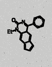 CCN1C(=O)N=C(c2ccccc2)C2C=C3C=CC=C3C=C21